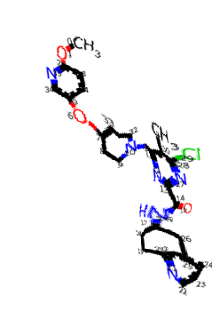 COc1ccc(OC2CCN(c3nc(C(=O)NC4CCc5ncccc5C4)nc(Cl)c3C)CC2)cn1